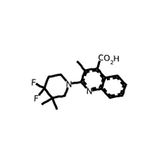 Cc1c(N2CCC(F)(F)C(C)(C)C2)nc2ccccc2c1C(=O)O